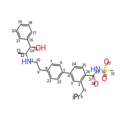 CC(C)Cc1cc(-c2ccc(CCN[C@@H](C)[C@H](O)c3ccccc3)cc2)ccc1C(=O)NS(C)(=O)=O